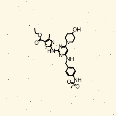 CCOC(=O)c1sc(Nc2nc(NCc3ccc(NS(C)(=O)=O)cc3)cc(N3CCC(O)CC3)n2)nc1C